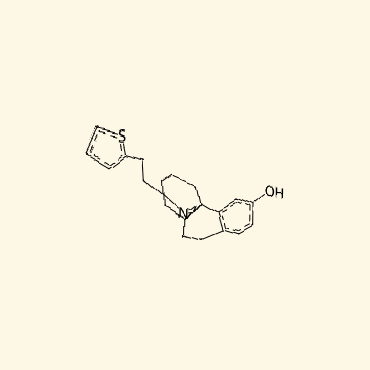 Oc1ccc2c(c1)C13CCCCC1(CC2)CN(CCc1cccs1)CC3